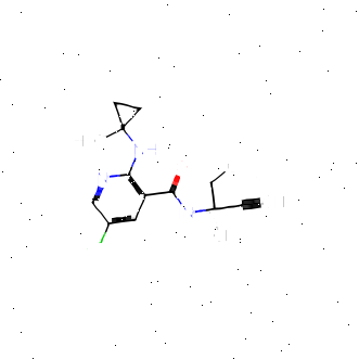 C#C[C@](C)(CC)NC(=O)c1cc(Cl)cnc1NC1(C)CC1